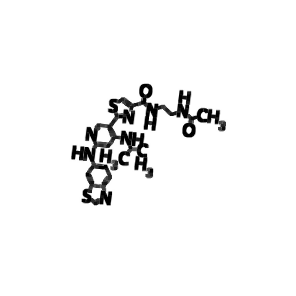 CC(=O)NCCNC(=O)c1csc(-c2cnc(Nc3ccc4ncsc4c3)cc2NC(C)C)n1